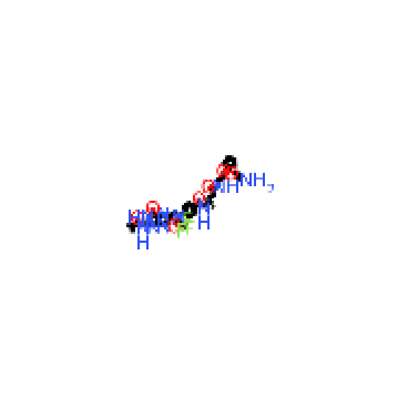 CC(C)C(=O)Nc1nc2ncc(CN(C(=O)C(F)(F)F)c3ccc(C(=O)N[C@H](C)CCC(=O)NCCOC4(OCCN)CCCC4)cc3)nc2c(=O)[nH]1